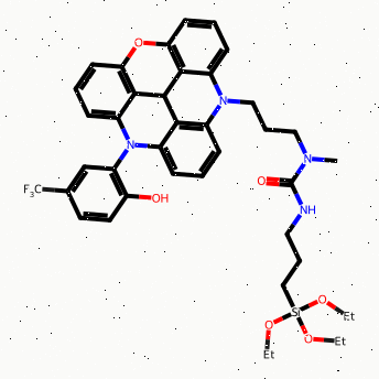 CCO[Si](CCCNC(=O)N(C)CCCN1c2cccc3c2C2c4c(cccc4N(c4cc(C(F)(F)F)ccc4O)c4cccc1c42)O3)(OCC)OCC